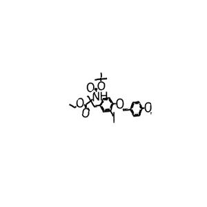 CCOC(=O)C(C)(Cc1ccc(OCc2ccc(OC)cc2)c(I)c1)NC(=O)OC(C)(C)C